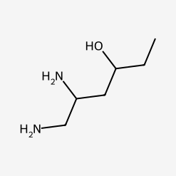 CCC(O)CC(N)CN